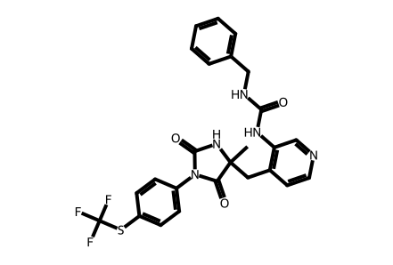 CC1(Cc2ccncc2NC(=O)NCc2ccccc2)NC(=O)N(c2ccc(SC(F)(F)F)cc2)C1=O